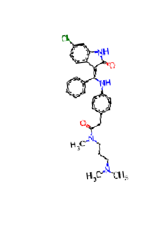 CN(C)CCCN(C)C(=O)Cc1ccc(N/C(=C2\C(=O)Nc3cc(Cl)ccc32)c2ccccc2)cc1